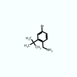 CC(C)(C)c1cc(Br)ccc1CN